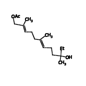 CCC(C)(O)CC/C=C(\C)CC/C=C(\C)COC(C)=O